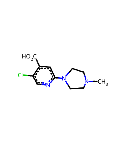 CN1CCN(c2cc(C(=O)O)c(Cl)cn2)CC1